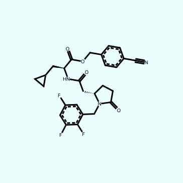 N#Cc1ccc(COC(=O)[C@H](CC2CC2)NC(=O)C[C@@H]2CCC(=O)N2Cc2cc(F)cc(F)c2F)cc1